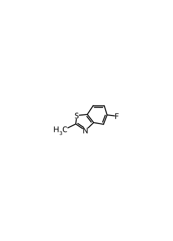 Cc1nc2cc(F)ccc2s1